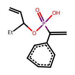 C=CC(CC)OP(=O)(O)C(=C)c1ccccc1